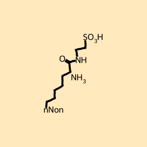 CCCCCCCCCCCCCCCC(=O)NCCS(=O)(=O)O.N